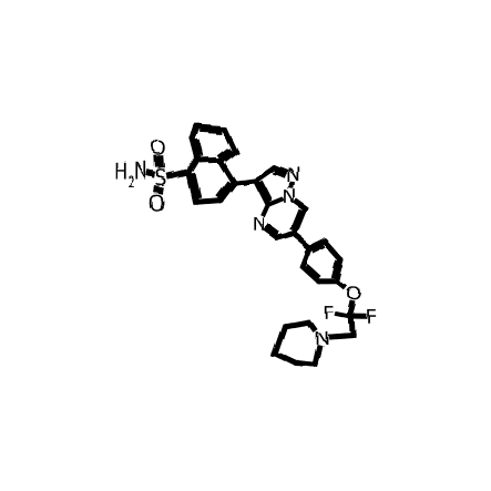 NS(=O)(=O)c1ccc(-c2cnn3cc(-c4ccc(OC(F)(F)CN5CCCCC5)cc4)cnc23)c2ccccc12